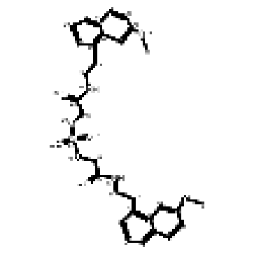 COc1ccc2cccc(CCNC(=O)COS(=O)(=O)OCC(=O)NCCc3cccc4ccc(OC)cc34)c2c1